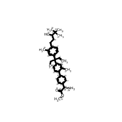 CCC(CC)(c1ccc(CCC(O)C(C)(C)C)c(C)c1)c1ccc(-c2ccc([C@@H](N)C(=O)OC)cc2)c(C)c1